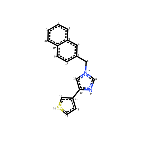 c1ccc2cc(Cn3cnc(-c4ccsc4)c3)ccc2c1